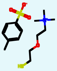 C[N+](C)(C)CCOCCS.Cc1ccc(S(=O)(=O)[O-])cc1